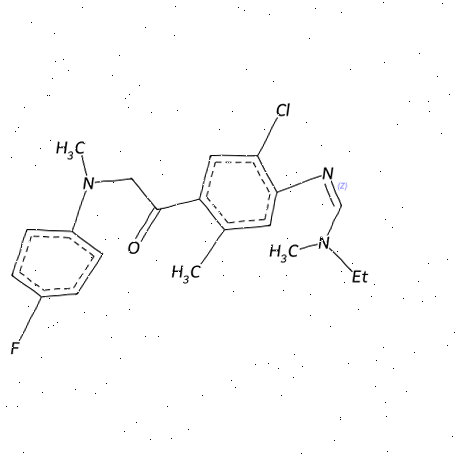 CCN(C)/C=N\c1cc(C)c(C(=O)CN(C)c2ccc(F)cc2)cc1Cl